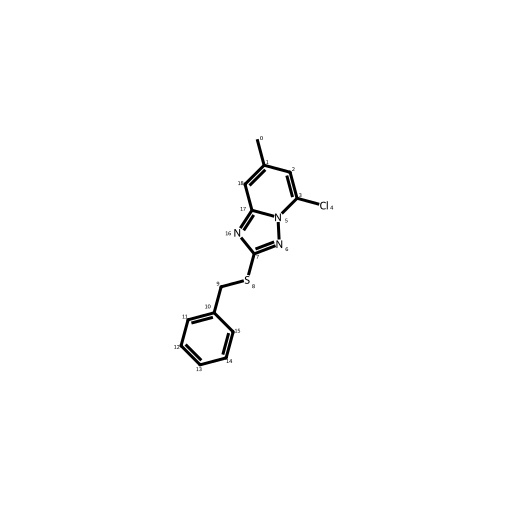 Cc1cc(Cl)n2nc(SCc3ccccc3)nc2c1